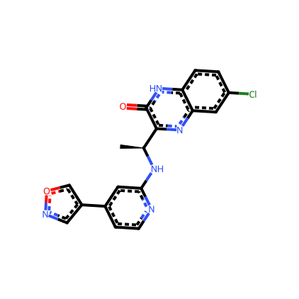 C[C@H](Nc1cc(-c2cnoc2)ccn1)c1nc2cc(Cl)ccc2[nH]c1=O